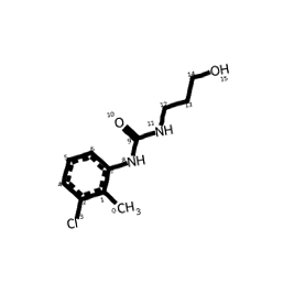 Cc1c(Cl)cccc1NC(=O)NCCCO